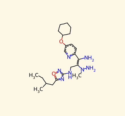 CCC(C)Cc1nc(NC/C(=C(/N)c2ccc(OC3CCCCC3)cn2)N(C)N)no1